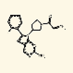 C=CC(=O)N1CCC(n2c(-c3ccccc3F)nc3cnc(N)nc32)C1